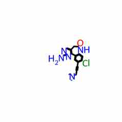 CN(C)CC#Cc1cc2c(cc1Cl)NC(=O)Cc1cnc(N)nc1-2